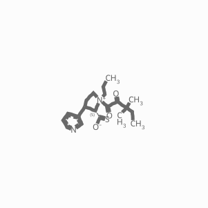 CCC[N+]1(C(=O)C(=O)C(C)(C)CC)CCC(c2cccnc2)[C@H]1C([O-])=S